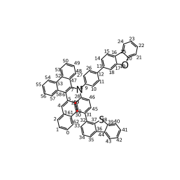 c1ccc2cc(-c3c(N(c4ccc(-c5ccc6c(c5)oc5ccccc56)cc4)c4ccc(-c5cccc6c5sc5ccccc56)cc4)c4ccccc4c4ccccc34)ccc2c1